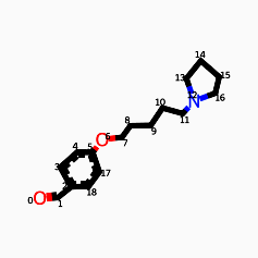 O=Cc1ccc(OCCCCCN2CCCC2)cc1